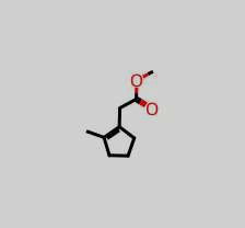 COC(=O)CC1=C(C)CCC1